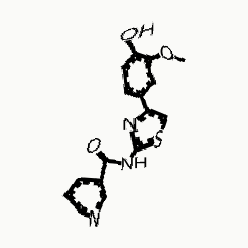 COc1cc(-c2csc(NC(=O)c3cccnc3)n2)ccc1O